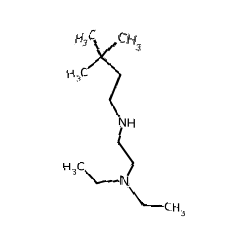 CCN(CC)CCNCCC(C)(C)C